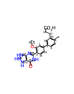 CCOc1cc(-c2ccc(C)c(CCC(=O)O)c2)ccc1-c1nc2c(c(=O)[nH]1)NNN2